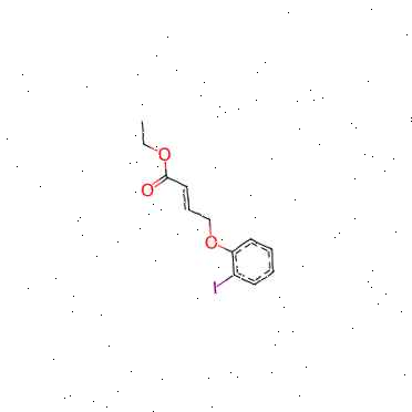 CCOC(=O)C=CCOc1ccccc1I